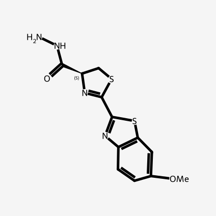 COc1ccc2nc(C3=N[C@@H](C(=O)NN)CS3)sc2c1